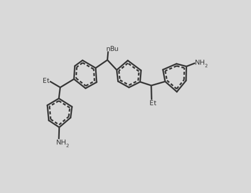 CCCCC(c1ccc(C(CC)c2ccc(N)cc2)cc1)c1ccc(C(CC)c2ccc(N)cc2)cc1